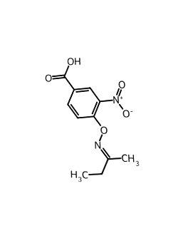 CC/C(C)=N/Oc1ccc(C(=O)O)cc1[N+](=O)[O-]